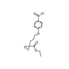 CCOC(=O)C1(CCCOc2ccc([N+](=O)[O-])cc2)CO1